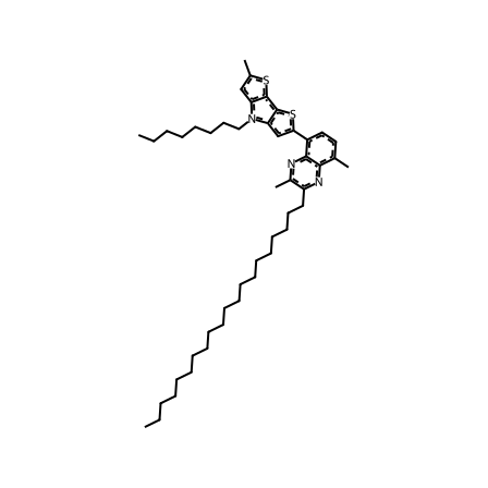 CCCCCCCCCCCCCCCCCCCCc1nc2c(C)ccc(-c3cc4c(s3)c3sc(C)cc3n4CCCCCCCC)c2nc1C